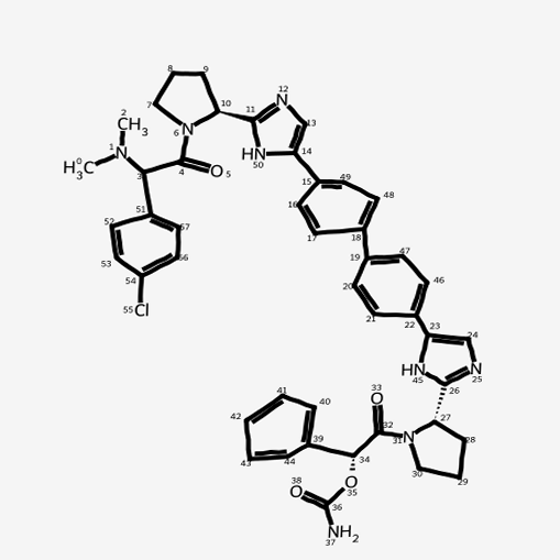 CN(C)C(C(=O)N1CCC[C@H]1c1ncc(-c2ccc(-c3ccc(-c4cnc([C@@H]5CCCN5C(=O)[C@H](OC(N)=O)c5ccccc5)[nH]4)cc3)cc2)[nH]1)c1ccc(Cl)cc1